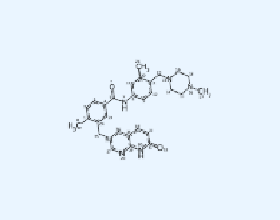 Cc1ccc(C(=O)Nc2ccc(CN3CCN(C)CC3)c(C)c2)cc1Cc1cnc2[nH]c(=O)ccc2c1